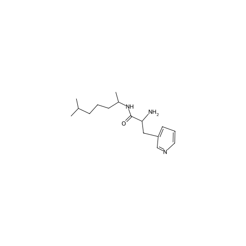 CC(C)CCCC(C)NC(=O)C(N)Cc1cccnc1